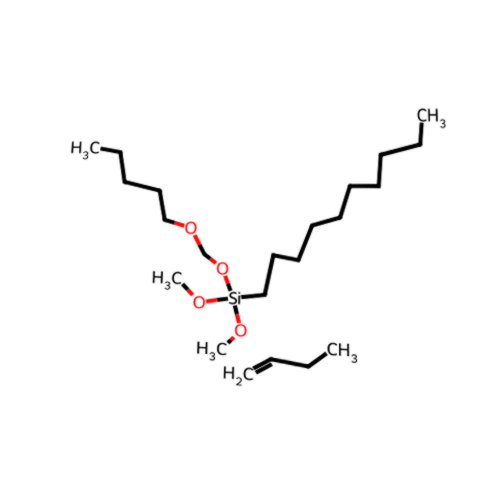 C=CCC.CCCCCCCCCC[Si](OC)(OC)OCOCCCCC